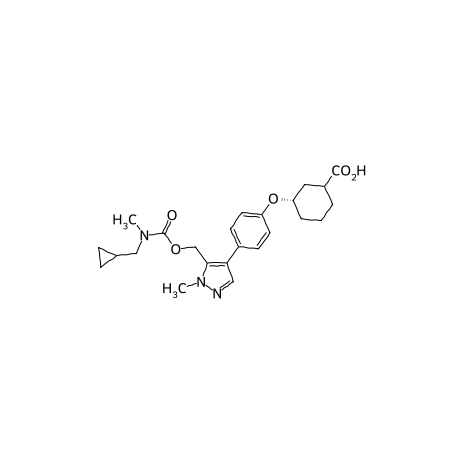 CN(CC1CC1)C(=O)OCc1c(-c2ccc(O[C@H]3CCCC(C(=O)O)C3)cc2)cnn1C